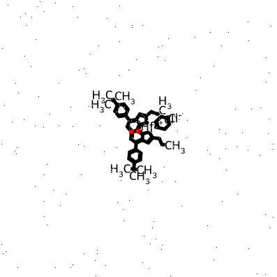 CCCC1=Cc2c(-c3ccc(C(C)(C)C)cc3)cccc2[CH]1[Hf+2]1([CH]2C(CCC)=Cc3c(-c4ccc(C(C)(C)C)cc4)cccc32)[CH]2CCCC[CH]21.[Cl-].[Cl-]